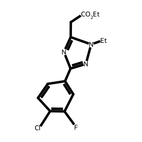 CCOC(=O)Cc1nc(-c2ccc(Cl)c(F)c2)nn1CC